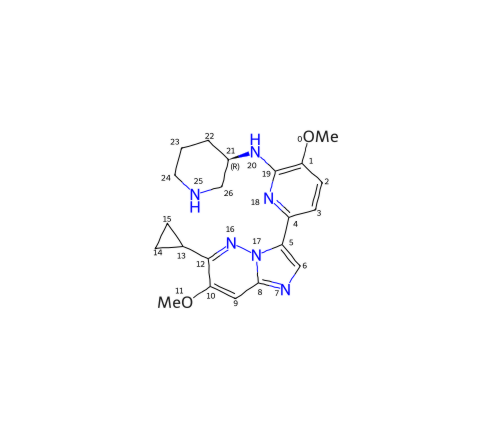 COc1ccc(-c2cnc3cc(OC)c(C4CC4)nn23)nc1N[C@@H]1CCCNC1